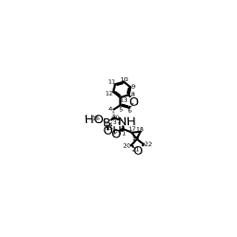 O=C(N[C@@H](Cc1coc2ccccc12)B(O)O)C1CC12COC2